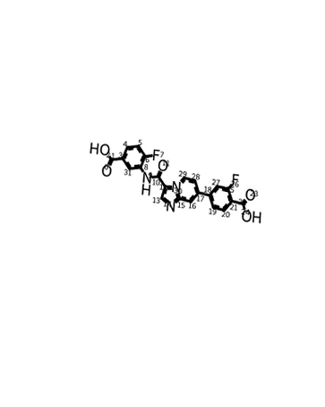 O=C(O)c1ccc(F)c(NC(=O)c2cnc3cc(-c4ccc(C(=O)O)c(F)c4)ccn23)c1